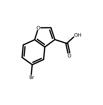 O=C(O)c1coc2ccc(Br)cc12